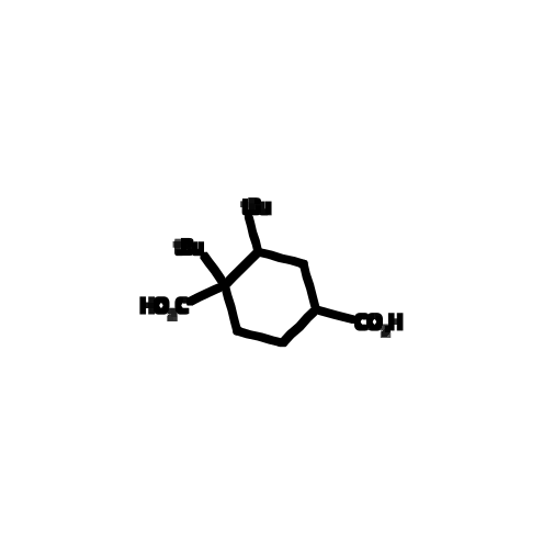 CC(C)(C)C1CC(C(=O)O)CCC1(C(=O)O)C(C)(C)C